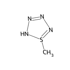 CS1=NN=NN1